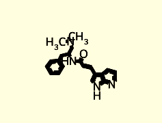 CN(C)CC(Cc1ccccc1)NC(=O)C=Cc1c[nH]c2ncccc12